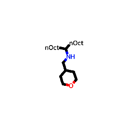 CCCCCCCCC(CCCCCCCC)NCC1CCOCC1